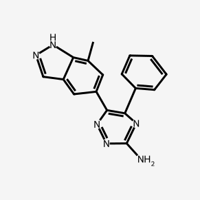 Cc1cc(-c2nnc(N)nc2-c2ccccc2)cc2cn[nH]c12